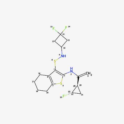 C=C(Nc1sc2c(c1SNC1CC(F)(F)C1)CCCC2)[C@H]1C[C@@H]1F